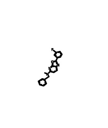 CN(Cc1ccccc1)c1ccc2nc(-c3cccc(F)c3)oc2n1